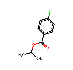 CC(C)OC(=O)c1ccc(Cl)cc1